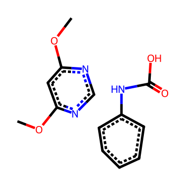 COc1cc(OC)ncn1.O=C(O)Nc1ccccc1